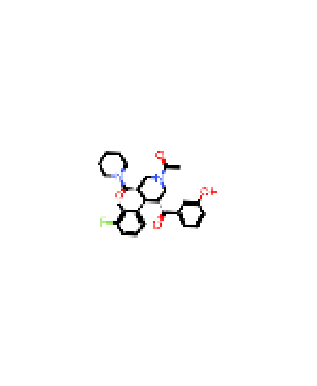 CC(=O)N1C[C@H](C(=O)c2cccc(O)c2)[C@@H](c2cccc(F)c2C)[C@@H](C(=O)N2CCCCC2)C1